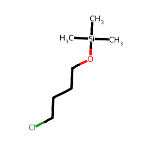 C[Si](C)(C)OCCCCCl